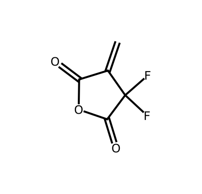 C=C1C(=O)OC(=O)C1(F)F